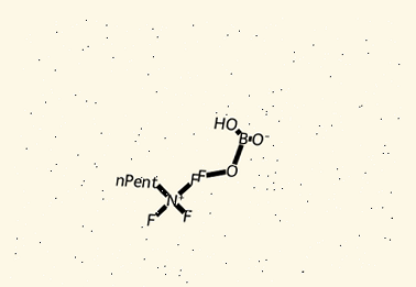 CCCCC[N+](F)(F)F.[O-]B(O)OF